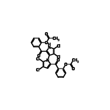 CC(=O)Oc1ccccc1C(=O)c1[nH]c(Cl)c(Cl)c1-n1c(C(=O)c2ccccc2OC(C)=O)cc(Cl)c1Cl